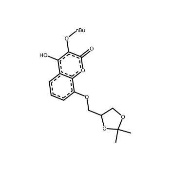 CCCCOc1c(O)c2cccc(OCC3COC(C)(C)O3)c2oc1=O